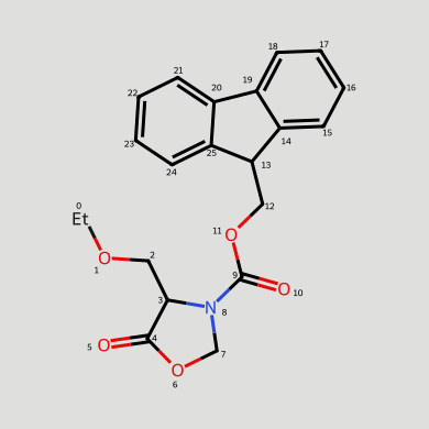 CCOCC1C(=O)OCN1C(=O)OCC1c2ccccc2-c2ccccc21